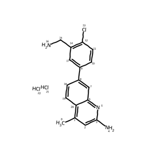 Cc1cc(N)nc2cc(-c3ccc(Cl)c(CN)c3)ccc12.Cl.Cl